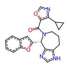 O=C(c1ocnc1C1CC1)N1CCCc2[nH]cnc2[C@@H]1c1cc2ccccc2o1